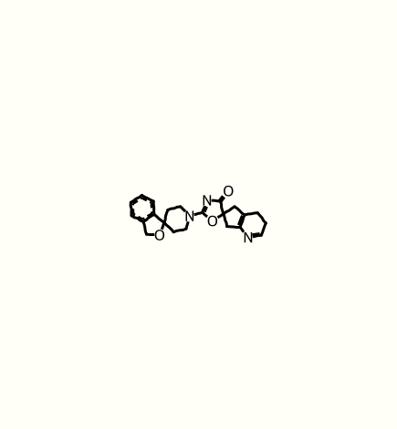 O=C1N=C(N2CCC3(CC2)OCc2ccccc23)OC12CC1=C(C2)N=CCC1